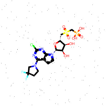 O=P(O)(O)CS(=O)(=O)C[C@H]1O[C@@H](n2ccc3c(N4CCC(F)(F)C4)nc(Cl)nc32)[C@H](O)[C@@H]1O